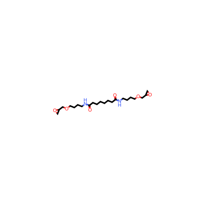 O=C(CCCCCCC(=O)NCCCCOCC1CO1)NCCCCOCC1CO1